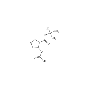 CC(C)(C)OC(=O)N1CSCC1OC(=O)O